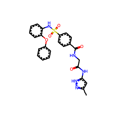 Cc1cc(NC(=O)CNC(=O)c2ccc(S(=O)(=O)Nc3ccccc3Oc3ccccc3)cc2)[nH]n1